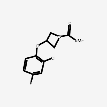 CNC(=O)N1CC(Oc2ccc(F)cc2Cl)C1